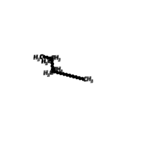 CCCCCCCCCCCCCCCCCCCC[N+](C)(C)CCCCCC[N+](C)(C)CCCCCC